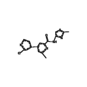 Cc1cc(-c2ccnc(Cl)c2)cc(C(=O)Nc2csc(C)n2)n1